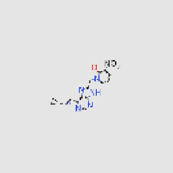 O=c1c([N+](=O)[O-])cccn1Cc1nc2c(/C=C/C3CC3)ncnc2[nH]1